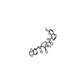 COc1ccc2nccc(NC(=O)C3CCC(NCc4ccc5c(c4)OCCO5)C(=O)N3)c2n1